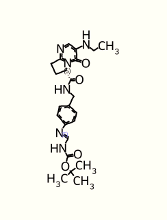 CCNc1cnc2n(c1=O)[C@H](C(=O)NCc1ccc(/N=C/NC(=O)OC(C)(C)C)cc1)CC2